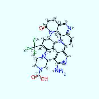 Nc1ccc(-c2ccc3ncc4ccc(=O)n(-c5ccc(N6CCN(C(=O)O)CC6)c(C(F)(F)F)c5)c4c3n2)cn1